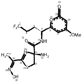 COc1cc([C@@H](CCC(F)(F)F)NC(=O)[C@]2(N)CSC(/C(C)=N\O)=N2)oc(=O)c1